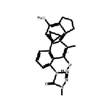 COc1ccc(/C(C)=C(/ON)c2c(C3CC3)cccc2-n2nnn(C)c2=O)c2c1CCC2